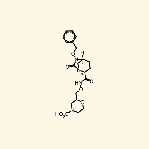 O=C(NOCC1CN(C(=O)O)CCO1)[C@@H]1CC[C@@H]2CN1C(=O)N2OCc1ccccc1